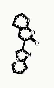 O=c1oc2ncccc2cc1-c1cn2ccccc2n1